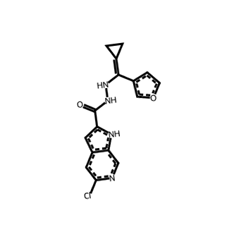 O=C(NNC(=C1CC1)c1ccoc1)c1cc2cc(Cl)ncc2[nH]1